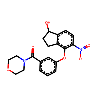 O=C(c1cccc(Oc2c([N+](=O)[O-])ccc3c2CCC3O)c1)N1CCOCC1